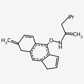 C=C1C=Cc2c(cc3c(c2ONC(=C)CC(C)C)C=CC3)C1